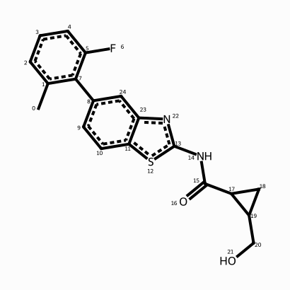 Cc1cccc(F)c1-c1ccc2sc(NC(=O)C3CC3CO)nc2c1